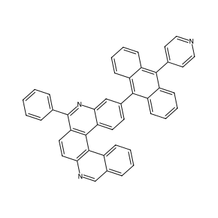 c1ccc(-c2nc3cc(-c4c5ccccc5c(-c5ccncc5)c5ccccc45)ccc3c3c2ccc2ncc4ccccc4c23)cc1